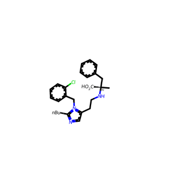 CCCCc1ncc(CCN[C@@](C)(Cc2ccccc2)C(=O)O)n1Cc1ccccc1Cl